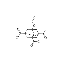 O=C(Cl)C12CC3(OCCl)CC(C(=O)Cl)(C1)CC(C(=O)Cl)(C3)C2